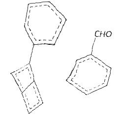 O=Cc1ccccc1.c1ccc(-c2cc3ccc2-3)cc1